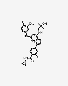 COc1cc(Nc2cc(NCC(C)(C)O)c3ncc(-c4ccc(C(=O)NC5CC5)c(C)c4)n3n2)ccc1F